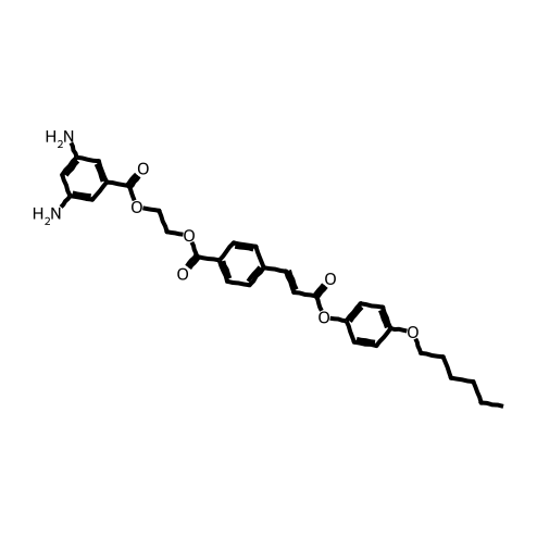 CCCCCCOc1ccc(OC(=O)C=Cc2ccc(C(=O)OCCOC(=O)c3cc(N)cc(N)c3)cc2)cc1